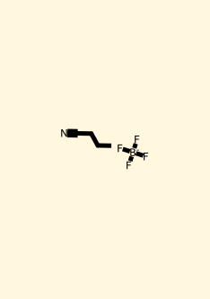 CCCC#N.F[B-](F)(F)F